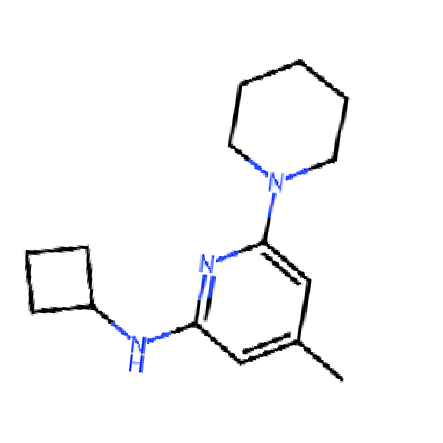 Cc1cc(NC2CCC2)nc(N2CCCCC2)c1